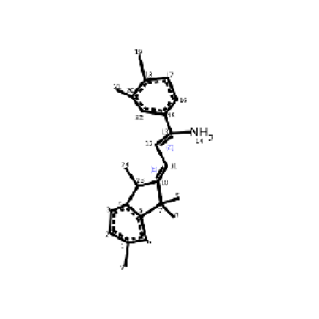 Cc1ccc2c(c1)C(C)(C)/C(=C/C=C(\N)c1ccc(C)c(C)c1)C2C